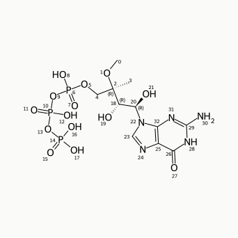 CO[C@](C)(COP(=O)(O)OP(=O)(O)OP(=O)(O)O)[C@@H](O)[C@@H](O)n1cnc2c(=O)[nH]c(N)nc21